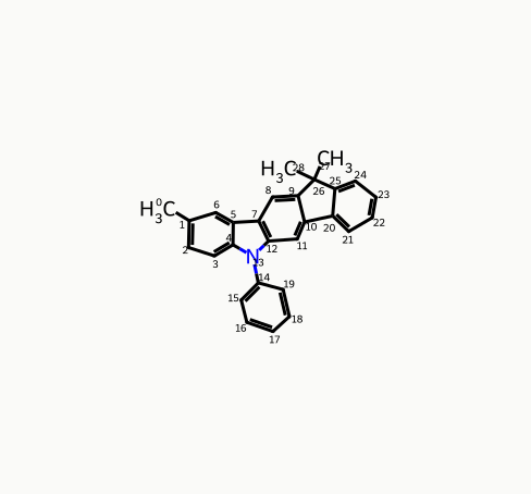 Cc1ccc2c(c1)c1cc3c(cc1n2-c1ccccc1)-c1ccccc1C3(C)C